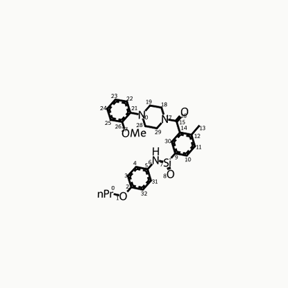 CCCOc1ccc(N[Si](=O)c2ccc(C)c(C(=O)N3CCN(c4ccccc4OC)CC3)c2)cc1